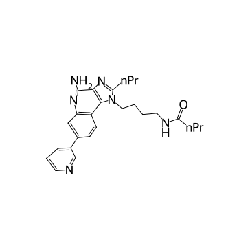 CCCC(=O)NCCCCn1c(CCC)nc2c(N)nc3cc(-c4cccnc4)ccc3c21